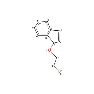 BrCCOC1C=[C]c2ccccc21